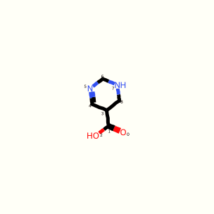 O=C(O)C1C=NCNC1